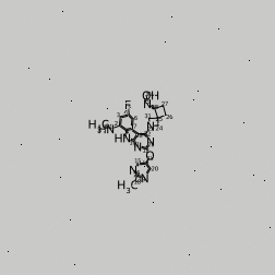 CNc1cc(F)cc2c1[nH]c1nc(Oc3cnc(C)nc3)nc(N3CC4(CC/C4=N\O)C3)c12